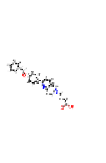 O=C(O)CCCN1CCc2nc(-c3ccc(OCc4ccccc4)cc3)ccc2C1